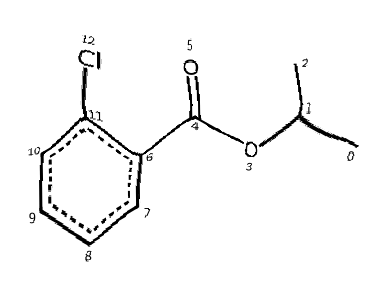 CC(C)OC(=O)c1ccccc1Cl